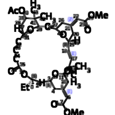 CC[C@H]1C[C@@H]2C/C(=C\C(=O)OC)C[C@@](O)(O2)C(C)(C)/C=C/[C@H]2C/C(=C\C(=O)OC)CC(CC3O[C@H](CCCC(=O)O1)CC(OC(C)=O)C3(C)C)O2